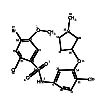 COc1cc(S(=O)(=O)Nc2ccc(Cl)c(OC3CCN(C)C3)c2)c(Cl)cc1Br